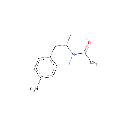 CC(Cc1ccc([N+](=O)[O-])cc1)N(C)C(=O)C(F)(F)F